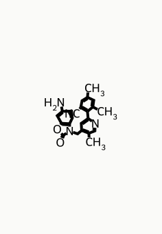 Cc1cc(C)c(-c2cc(Cn3c(=O)oc4cc(N)ccc43)c(C)cn2)c(C#N)c1